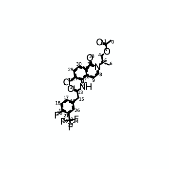 CC(=O)OC[C@@H](C)n1ccc2c(NC(=O)Cc3ccc(F)c(C(F)(F)F)c3)c(Cl)ccc2c1=O